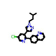 CC(C)CCn1cc(-c2cc(Cl)cnc2-c2ccc3cccnc3c2)cn1